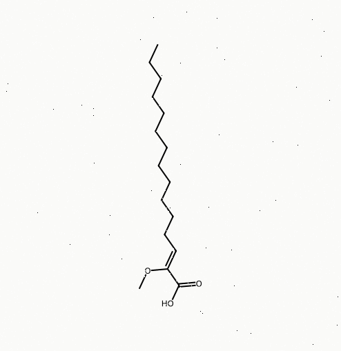 CCCCCCCCCCCC/C=C(\OC)C(=O)O